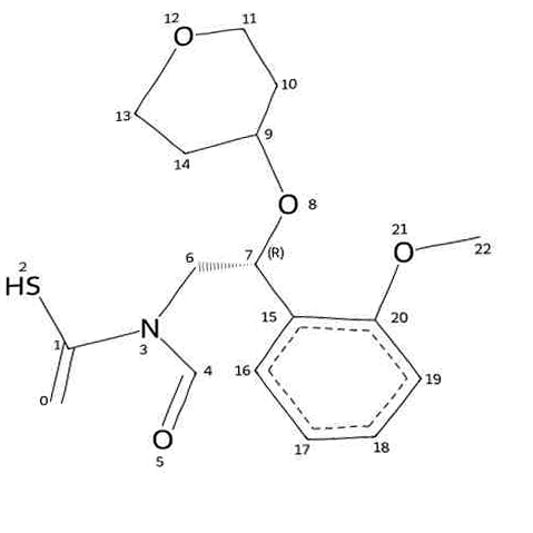 C=C(S)N(C=O)C[C@H](OC1CCOCC1)c1ccccc1OC